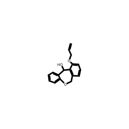 C=CCOc1cccc2c1C(O)c1ccccc1OC2